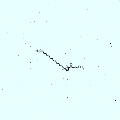 CCCCCCCCCCCCCCOc1ccc(C(=O)CCCC)o1